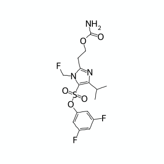 CC(C)c1nc(CCOC(N)=O)n(CF)c1S(=O)(=O)Oc1cc(F)cc(F)c1